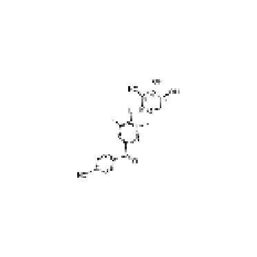 Cc1cc(C(=O)c2ccc(C#N)cc2)cc(C)c1O[C@H]1OC[C@H](O)[C@@H](O)[C@@H]1O